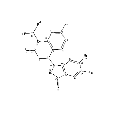 C=CCC(c1ccc(C)cc1OC(F)F)n1[nH]c(=O)c2cc(F)c(Br)cc21